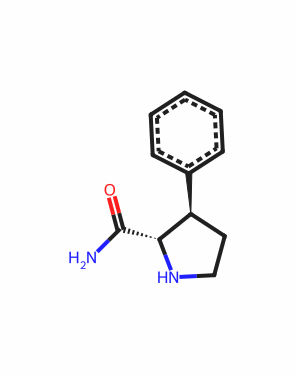 NC(=O)[C@H]1NCC[C@@H]1c1ccccc1